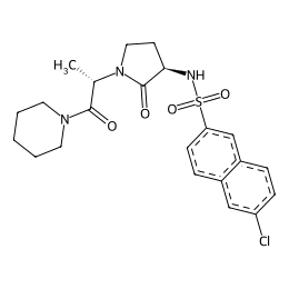 C[C@@H](C(=O)N1CCCCC1)N1CC[C@@H](NS(=O)(=O)c2ccc3cc(Cl)ccc3c2)C1=O